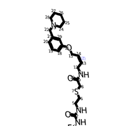 CCNC(=O)NCCSCC(=O)NC/C=C\COc1cccc(CN2CCCCC2)c1